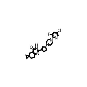 O=c1[nH]c(C2=C[C@H](N3CCN(c4ncc(Cl)cc4F)CC3)CC2)nc2c1CC1(CC2)CC1